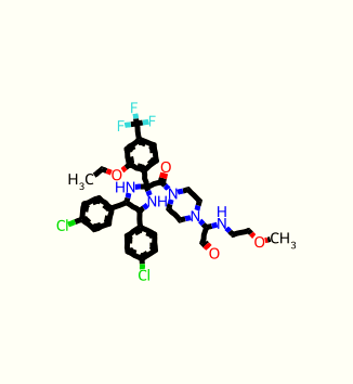 CCOc1cc(C(F)(F)F)ccc1C1(C(=O)N2CCN(C(C=O)NCCOC)CC2)NC(c2ccc(Cl)cc2)C(c2ccc(Cl)cc2)N1